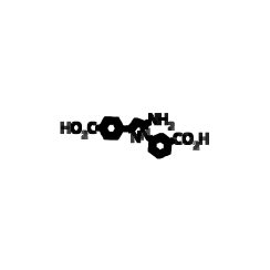 Nc1cc(-c2ccc(C(=O)O)cc2)nn1-c1cccc(C(=O)O)c1